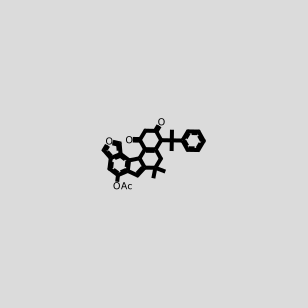 CC(=O)Oc1cc2cocc2c2c1C=C1C2C2=C(CC1(C)C)C(C(C)(C)c1ccccc1)C(=O)CC2=O